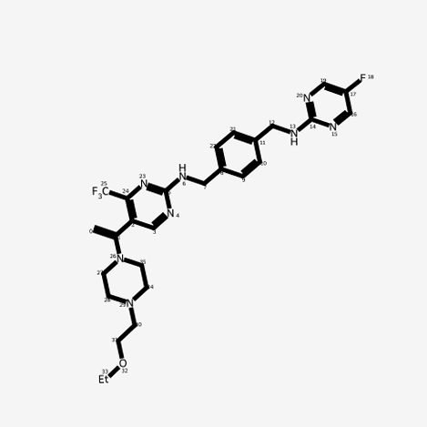 C=C(c1cnc(NCc2ccc(CNc3ncc(F)cn3)cc2)nc1C(F)(F)F)N1CCN(CCOCC)CC1